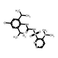 CC(C)c1cc(Cl)cc(C(C)C)c1NC(=O)NS(=O)(=O)c1nnccc1N(C)C